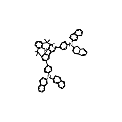 CC1(C)c2cccc3c2-n2c4c1cc(-c1ccc(N(C5=CC=C6C=CC=CC6C5)c5ccc6ccccc6c5)cc1)cc4c1cc(-c4ccc(N(c5ccc6ccccc6c5)c5ccc6ccccc6c5)cc4)cc(c12)C3(C)C